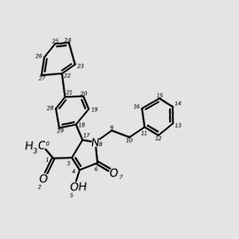 CC(=O)C1=C(O)C(=O)N(CCc2ccccc2)C1c1ccc(-c2ccccc2)cc1